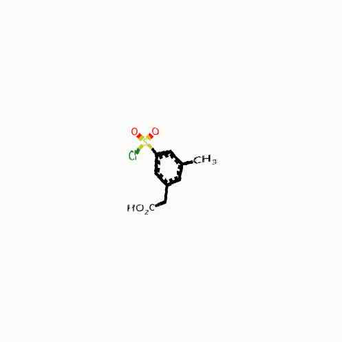 Cc1cc(CC(=O)O)cc(S(=O)(=O)Cl)c1